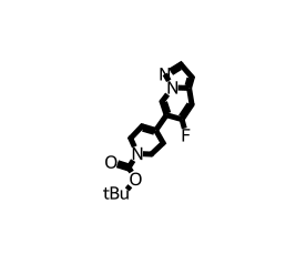 CC(C)(C)OC(=O)N1CC=C(c2cn3nccc3cc2F)CC1